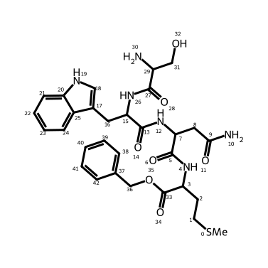 CSCCC(NC(=O)C(CC(N)=O)NC(=O)C(Cc1c[nH]c2ccccc12)NC(=O)C(N)CO)C(=O)OCc1ccccc1